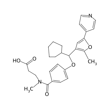 Cc1oc(-c2ccncc2)cc1C(Oc1ccc(C(=O)N(C)CCC(=O)O)cc1)C1CCCCC1